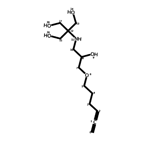 C=C=CCCCOCC(O)CNC(CO)(CO)CO